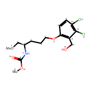 COC[C@@H](CCCOc1ccc(Cl)c(Cl)c1CO)NC(=O)OC(C)(C)C